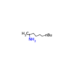 C=C(N)CCCCCCCC